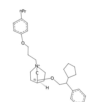 CCCc1ccc(OCCC[N+]23CCC(CC2)[C@H](OCC(c2ccccc2)C2CCCC2)C3)cc1